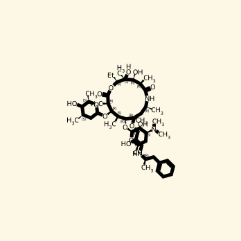 CC[C@H]1OC(=O)[C@H](C)[C@H](OC2C[C@H](C)C(O)[C@H](C)O2)[C@H](C)[C@@H](O[C@@H]2O[C@H](C)C[C@H](N(C)C)[C@H]2O)[C@](C)(OCC(O)CN[C@H](C)CC2=CCCC=C2)C[C@@H](C)NC(=O)[C@H](C)[C@@H](O)[C@]1(C)O